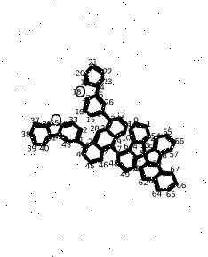 c1ccc2c(c1)-c1c(-c3c4cccc(-c5ccc6oc7ccccc7c6c5)c4cc4c(-c5ccc6oc7ccccc7c6c5)cccc34)cccc1C21c2ccccc2-c2c1ccc1ccccc21